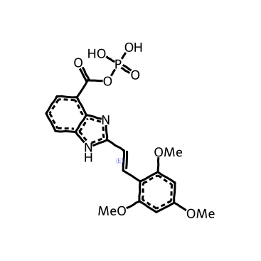 COc1cc(OC)c(/C=C/c2nc3c(C(=O)OP(=O)(O)O)cccc3[nH]2)c(OC)c1